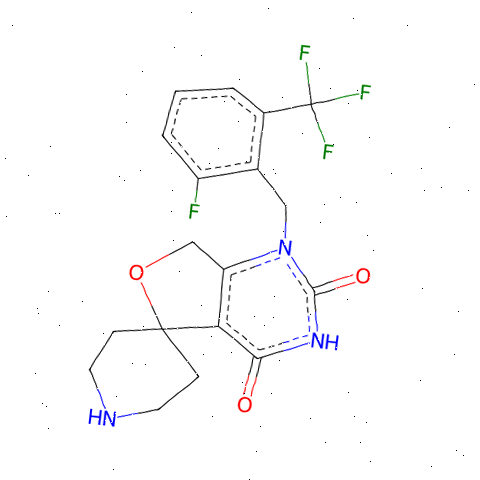 O=c1[nH]c(=O)n(Cc2c(F)cccc2C(F)(F)F)c2c1C1(CCNCC1)OC2